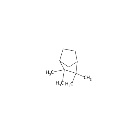 CC1(C)C2CCC(C2)C1(C)C